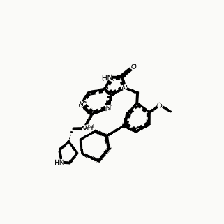 COc1ccc(C2CCCCC2)cc1Cn1c(=O)[nH]c2cnc(NC[C@@H]3CCNC3)nc21